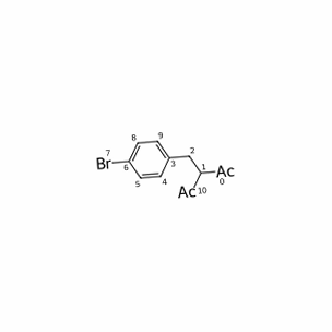 CC(=O)C(Cc1ccc(Br)cc1)C(C)=O